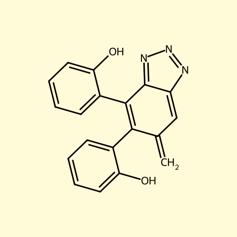 C=c1cc2c(c(-c3ccccc3O)c1-c1ccccc1O)=NN=N2